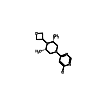 C[C@@H]1CN(c2cc(Cl)ncn2)C[C@H](C)N1C1COC1